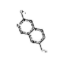 Cc1cc2ccc(C(C)(C)C)cc2cn1